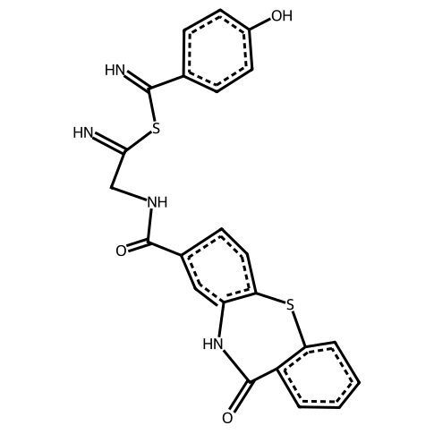 N=C(CNC(=O)c1ccc2c(c1)NC(=O)c1ccccc1S2)SC(=N)c1ccc(O)cc1